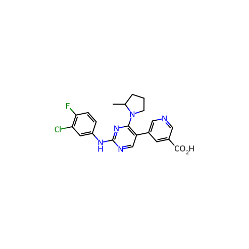 CC1CCCN1c1nc(Nc2ccc(F)c(Cl)c2)ncc1-c1cncc(C(=O)O)c1